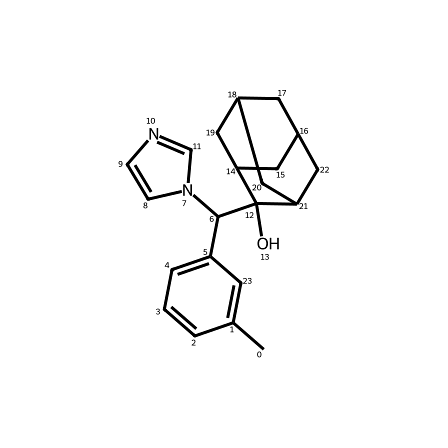 Cc1cccc(C(n2ccnc2)C2(O)C3CC4CC(C3)CC2C4)c1